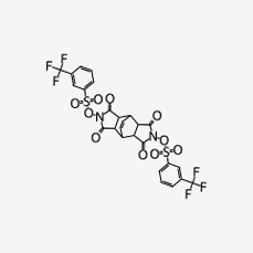 O=C1C2C3C=CC(C2C(=O)N1OS(=O)(=O)c1cccc(C(F)(F)F)c1)C1C(=O)N(OS(=O)(=O)c2cccc(C(F)(F)F)c2)C(=O)C31